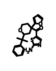 CC(C)(c1ccccc1)C1CC(C(=O)c2cnc(N)s2)(c2ccco2)CCO1